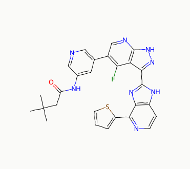 CC(C)(C)CC(=O)Nc1cncc(-c2cnc3[nH]nc(-c4nc5c(-c6cccs6)nccc5[nH]4)c3c2F)c1